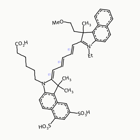 CC[N+]1=C(/C=C/C=C/C=C2/N(CCCCCC(=O)O)c3ccc4c(S(=O)(=O)O)cc(S(=O)(=O)O)cc4c3C2(C)C)C(C)(CCOC)c2c1ccc1ccccc21